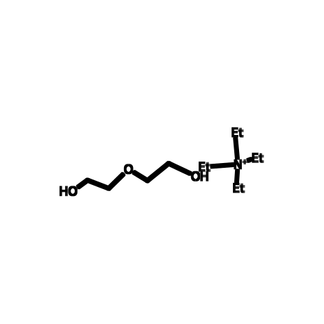 CC[N+](CC)(CC)CC.OCCOCCO